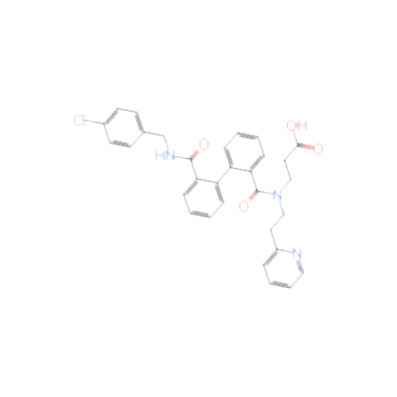 O=C(O)CCN(CCc1ccccn1)C(=O)c1ccccc1-c1ccccc1C(=O)NCc1ccc(Cl)cc1